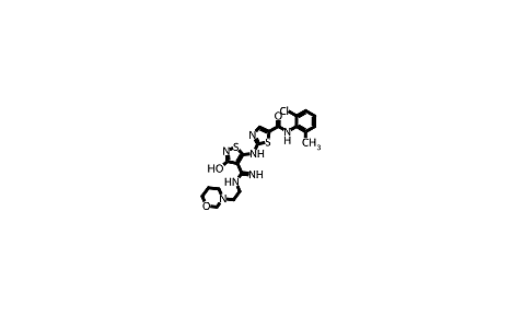 Cc1cccc(Cl)c1NC(=O)c1cnc(Nc2snc(O)c2C(=N)NCCN2CCCOC2)s1